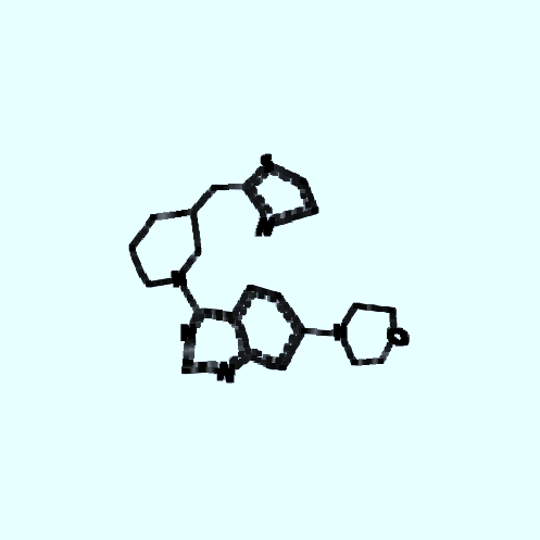 c1csc(CC2CCCN(c3ncnc4cc(N5CCOCC5)ccc34)C2)n1